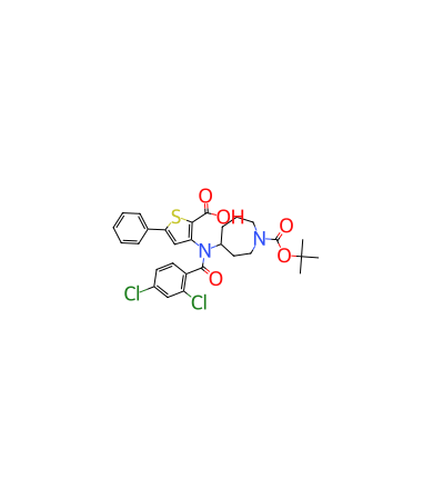 CC(C)(C)OC(=O)N1CCCC(N(C(=O)c2ccc(Cl)cc2Cl)c2cc(-c3ccccc3)sc2C(=O)O)CC1